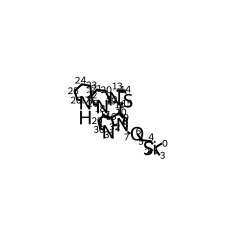 C[Si](C)(C)CCOCn1cc(-c2nccs2)c2c(N3CCCC4(CCCCN4)C3)ccnc21